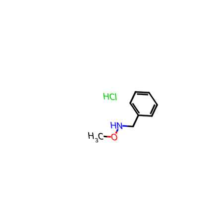 CONCc1ccccc1.Cl